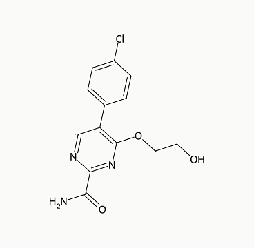 NC(=O)c1n[c]c(-c2ccc(Cl)cc2)c(OCCO)n1